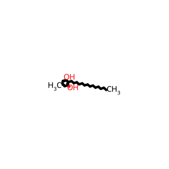 CCCCCCCCCCCCCCCc1c(O)cc(C)cc1O